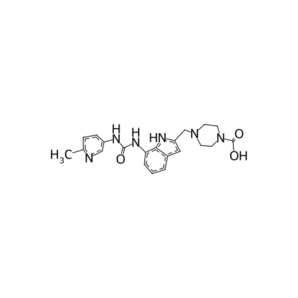 Cc1ccc(NC(=O)Nc2cccc3cc(CN4CCN(C(=O)O)CC4)[nH]c23)cn1